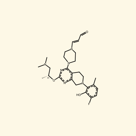 Cc1ccc(F)c(O)c1N1CCc2c(nc(O[C@H](C)CN(C)C)nc2N2CCN(C=CC=O)CC2)C1